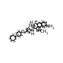 Cn1nc(C(=O)Nc2nc(COC3CCN(C4CCCCCC4)CC3)cs2)c2c1-c1nc(N)ncc1CC2(C)C